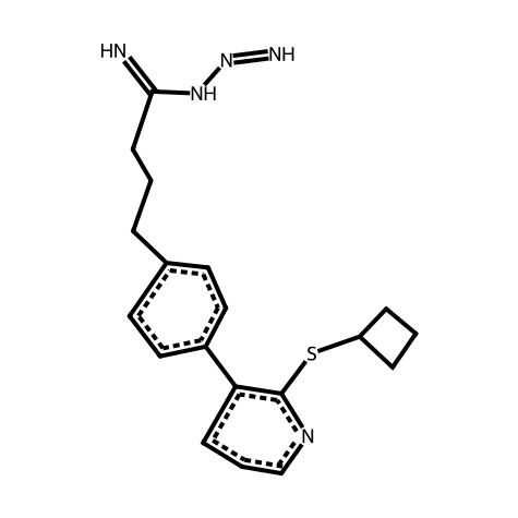 N=NNC(=N)CCCc1ccc(-c2cccnc2SC2CCC2)cc1